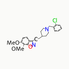 COc1ccc2c(CCC3CCN(Cc4ccccc4Cl)CC3)noc2c1OC